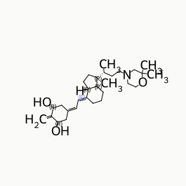 C=C1[C@H](O)CC(=C/C=C2\CCC[C@]3(C)[C@@H](C(C)CCN4CCOC(C)(C)C4)CC[C@@H]23)C[C@H]1O